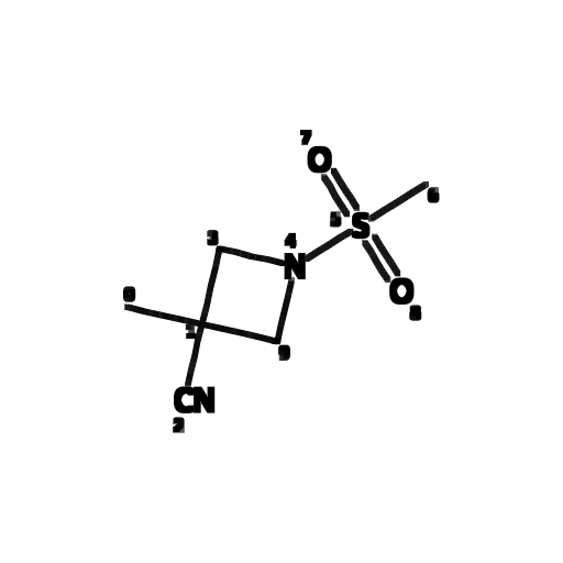 CC1(C#N)CN(S(C)(=O)=O)C1